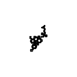 CN(C)CCCS(=O)(=O)CC[C@@H]1OCC[C@@]2(S(=O)(=O)c3ccc(Cl)cc3)c3c(F)ccc(F)c3OC[C@@H]12